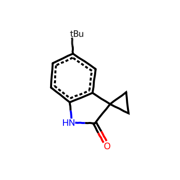 CC(C)(C)c1ccc2c(c1)C1(CC1)C(=O)N2